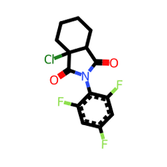 O=C1C2CCCCC2(Cl)C(=O)N1c1c(F)cc(F)cc1F